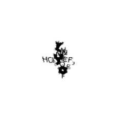 CC(Oc1ccc(F)cc1F)c1ccn2c(CC3CC3)nnc2c1C(F)(F)F.Cl